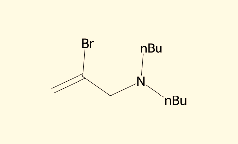 C=C(Br)CN(CCCC)CCCC